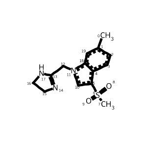 Cc1ccc2c(S(C)(=O)=O)cn(CC3=NCCN3)c2c1